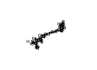 CCOc1cc2oc(-c3ccc(OCCOCCOCCOCCOc4cccc5c4C(=O)N(C4CCC(=O)NC4=O)C5=O)cc3Cl)cc(=O)c2cc1-c1cc(C(N)=O)cc(-c2ccncc2)c1